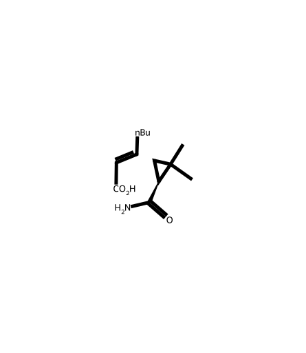 CC1(C)C[C@@H]1C(N)=O.CCCCC=CC(=O)O